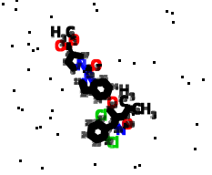 COC(=O)[C@@H]1CCN(C(=O)n2ccc3cc(OCc4c(-c5c(Cl)cccc5Cl)noc4C(C)C)ccc32)C1